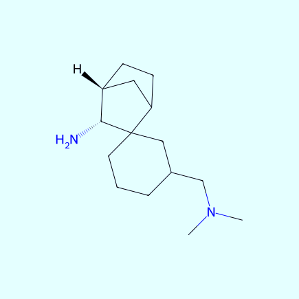 CN(C)CC1CCCC2(C1)C1CC[C@H](C1)[C@H]2N